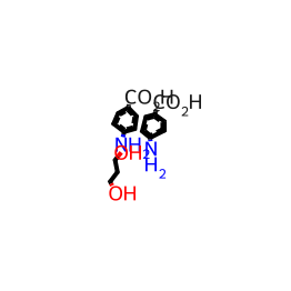 Nc1ccc(C(=O)O)cc1.Nc1ccc(C(=O)O)cc1.OCCCO